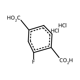 Cl.Cl.O=C(O)c1ccc(C(=O)O)c(F)c1